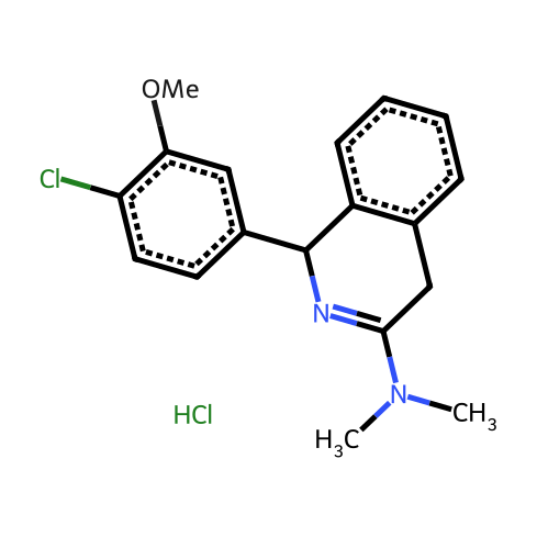 COc1cc(C2N=C(N(C)C)Cc3ccccc32)ccc1Cl.Cl